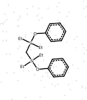 CC[Si](CC)(C[Si](CC)(CC)Oc1ccccc1)Oc1ccccc1